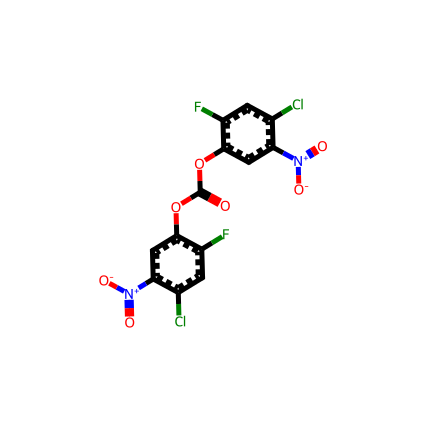 O=C(Oc1cc([N+](=O)[O-])c(Cl)cc1F)Oc1cc([N+](=O)[O-])c(Cl)cc1F